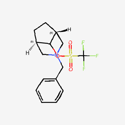 O=S(=O)(OC1[C@@H]2CC[C@@H]1CN(Cc1ccccc1)C2)C(F)(F)F